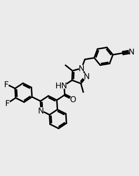 Cc1nn(Cc2ccc(C#N)cc2)c(C)c1NC(=O)c1cc(-c2ccc(F)c(F)c2)nc2ccccc12